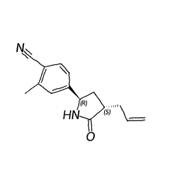 C=CC[C@H]1C[C@H](c2ccc(C#N)c(C)c2)NC1=O